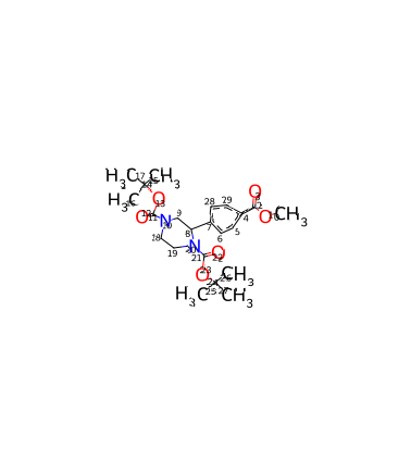 COC(=O)c1ccc(C2CN(C(=O)OC(C)(C)C)CCN2C(=O)OC(C)(C)C)cc1